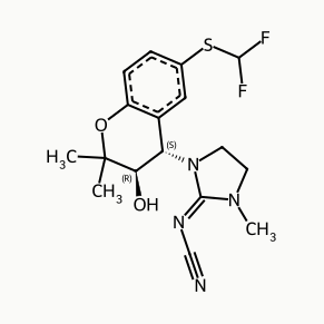 CN1CCN([C@H]2c3cc(SC(F)F)ccc3OC(C)(C)[C@@H]2O)C1=NC#N